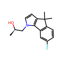 C[C@@H](O)Cn1ccc2c1-c1cc(F)ccc1C2(C)C